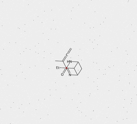 C=C=C(C)C(=O)C1C2CC1NC(CC)=N2